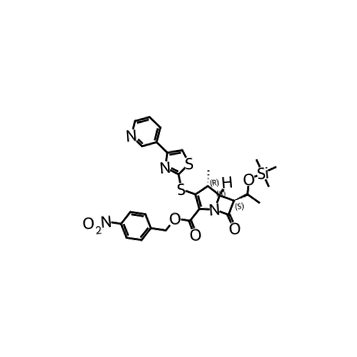 CC(O[Si](C)(C)C)[C@H]1C(=O)N2C(C(=O)OCc3ccc([N+](=O)[O-])cc3)=C(Sc3nc(-c4cccnc4)cs3)[C@H](C)[C@H]12